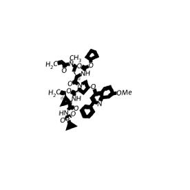 C=CC(=O)N(C)CC[C@H](NC(=O)OC1CCCC1)C(=O)N1C[C@H](Oc2cc(-c3ccccc3)nc3cc(OC)ccc23)C[C@H]1C(=O)N[C@]1(C(=O)NS(=O)(=O)C2CC2)C[C@H]1C=C